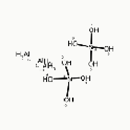 O[Si](O)(O)O.O[Si](O)(O)O.[AlH3].[AlH3].[AlH3]